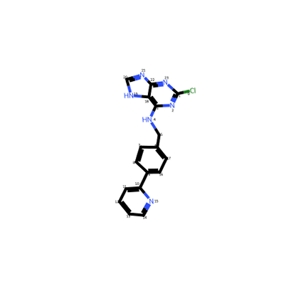 Clc1nc(NCc2ccc(-c3ccccn3)cc2)c2[nH]cnc2n1